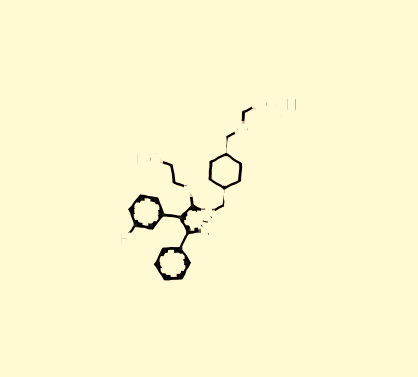 O=C(O)COC[C@H]1CC[C@@H](Cn2nc(-c3ccccc3)c(-c3cccc(F)c3)c2SCCO)CC1